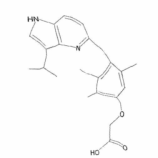 Cc1cc(OCC(=O)O)c(C)c(C)c1Cc1ccc2[nH]cc(C(C)C)c2n1